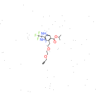 C#CCOCCOCCc1cc(C(N)(N)C(F)(F)F)ccc1C(=O)OC(C)C